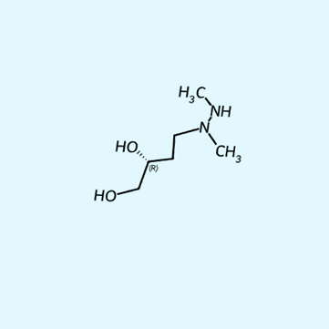 CNN(C)CC[C@@H](O)CO